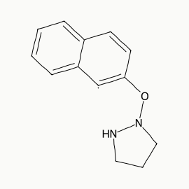 [c]1c(ON2CCCN2)ccc2ccccc12